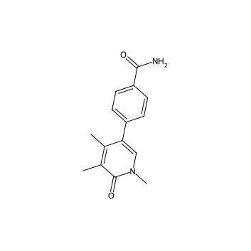 Cc1c(-c2ccc(C(N)=O)cc2)cn(C)c(=O)c1C